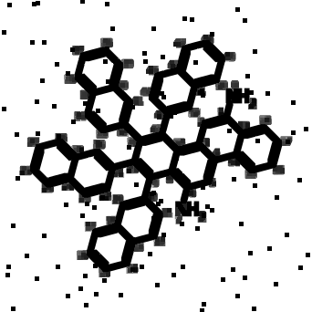 Nc1cc2c(cc(N)c3c(-c4ccc5ccccc5c4)c(-c4ccc5ccccc5c4)c(-c4ccc5ccccc5c4)c(-c4ccc5ccccc5c4)c32)c2ccccc12